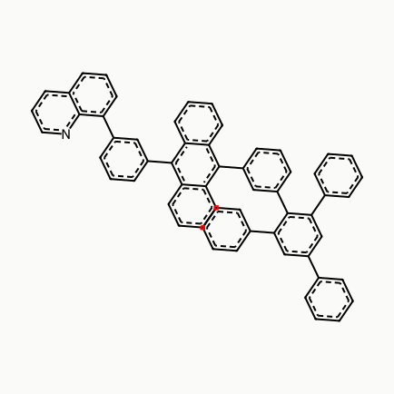 c1ccc(-c2cc(-c3ccccc3)c(-c3cccc(-c4c5ccccc5c(-c5cccc(-c6cccc7cccnc67)c5)c5ccccc45)c3)c(-c3ccccc3)c2)cc1